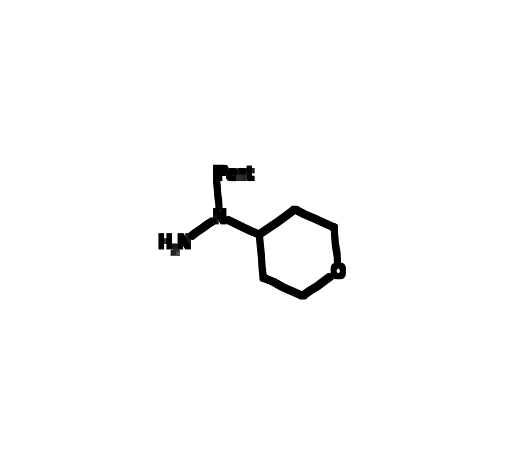 CCCC(C)N(N)C1CCOCC1